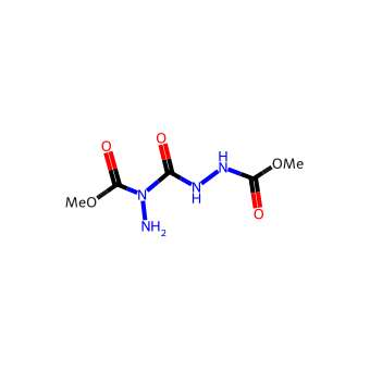 COC(=O)NNC(=O)N(N)C(=O)OC